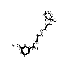 CCOP(=O)(OCC)OCCSSCCOC(=O)c1cccc(OC(C)=O)c1